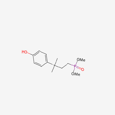 COP(=O)(CCC(C)(C)c1ccc(O)cc1)OC